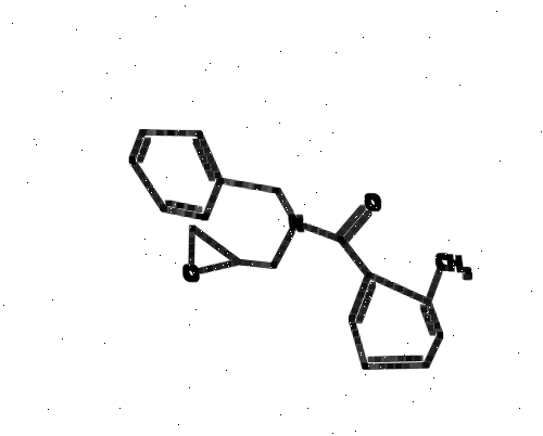 Cc1ccccc1C(=O)N(Cc1ccccc1)CC1CO1